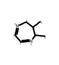 CC1CN=CC=NC1C